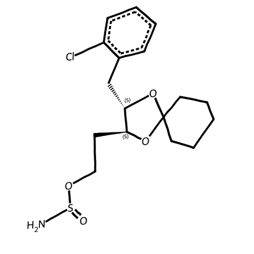 NS(=O)OCC[C@@H]1OC2(CCCCC2)O[C@H]1Cc1ccccc1Cl